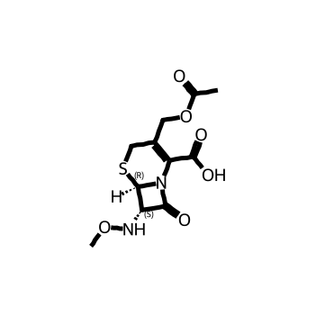 CON[C@H]1C(=O)N2C(C(=O)O)=C(COC(C)=O)CS[C@H]12